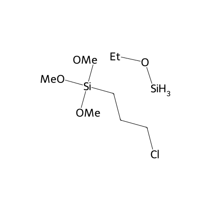 CCO[SiH3].CO[Si](CCCCl)(OC)OC